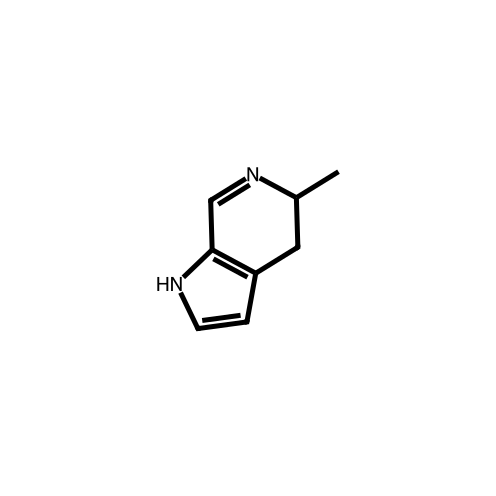 CC1Cc2cc[nH]c2C=N1